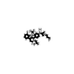 C[C@@H]1Cc2c([nH]c3c(F)cccc23)C(c2ccc(NC3CN(CCCF)C3)cc2OC(F)F)N1CC(F)F